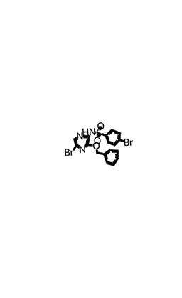 O=S(=O)(Nc1ncc(Br)nc1OCc1ccccc1)c1ccc(Br)cc1